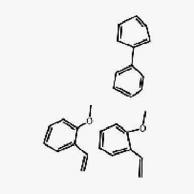 C=Cc1ccccc1OC.C=Cc1ccccc1OC.c1ccc(-c2ccccc2)cc1